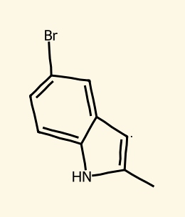 Cc1[c]c2cc(Br)ccc2[nH]1